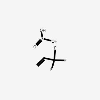 C=CC(F)(F)F.O=S(O)O